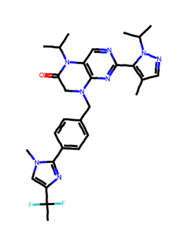 Cc1cnn(C(C)C)c1-c1ncc2c(n1)N(Cc1ccc(-c3nc(C(C)(F)F)cn3C)cc1)CC(=O)N2C(C)C